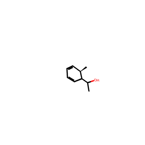 CC(O)C1C=CC=C[C@H]1C